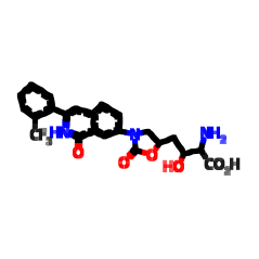 NC(C(=O)O)C(O)CC1CN(c2ccc3cc(-c4ccccc4C(F)(F)F)[nH]c(=O)c3c2)C(=O)O1